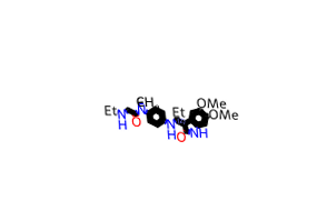 CCNCC(=O)N(C)c1ccc(N/C(CC)=C2\C(=O)Nc3cc(OC)c(OC)cc32)cc1